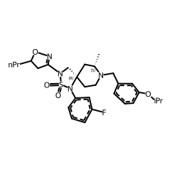 CCCC1CC(N2C[C@]3(CCN(Cc4cccc(OC(C)C)c4)[C@@H](C)C3)N(c3cccc(F)c3)S2(=O)=O)=NO1